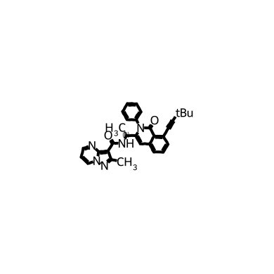 Cc1nn2cccnc2c1C(=O)N[C@H](C)c1cc2cccc(C#CC(C)(C)C)c2c(=O)n1-c1ccccc1